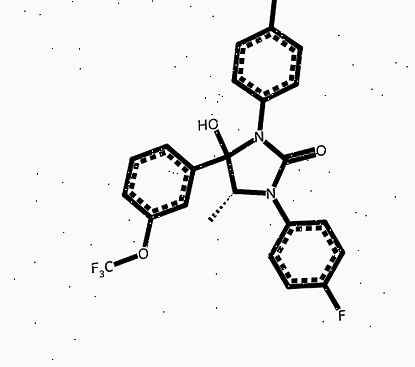 C[C@H]1N(c2ccc(F)cc2)C(=O)N(c2ccc(F)cc2)C1(O)c1cccc(OC(F)(F)F)c1